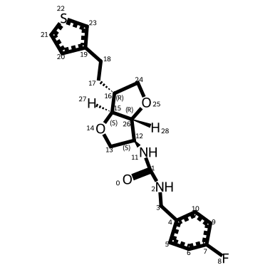 O=C(NCc1ccc(F)cc1)N[C@H]1CO[C@H]2[C@H](CCc3ccsc3)CO[C@@H]21